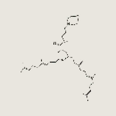 C=C(CC/C=C(\C)CCC=C(C)C)CC[C@@H]1C=C(CC/C=C(\C)CCC=C(C)C)C[C@H](C(=O)NCCCN2CCOCC2)C1